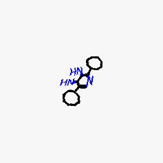 N=C1C(=N)C(C2CCCCCCC2)=NC=C1C1CCCCCCC1